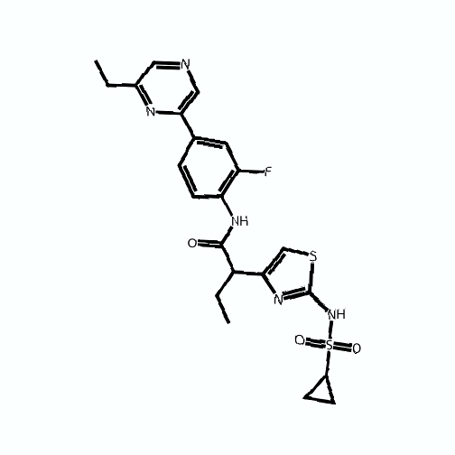 CCc1cncc(-c2ccc(NC(=O)C(CC)c3csc(NS(=O)(=O)C4CC4)n3)c(F)c2)n1